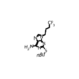 CCCCSc1nc(N)c2ncn(CCCC(F)(F)F)c2n1